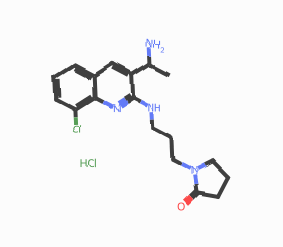 CC(N)c1cc2cccc(Cl)c2nc1NCCCN1CCCC1=O.Cl